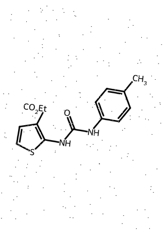 CCOC(=O)c1ccsc1NC(=O)Nc1ccc(C)cc1